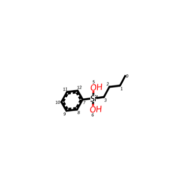 CCCC[Si](O)(O)c1ccccc1